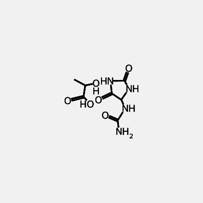 CC(O)C(=O)O.NC(=O)NC1NC(=O)NC1=O